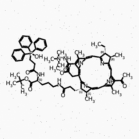 CC[C@H]1c2cc3[nH]c(c(CC(=O)OC)c4nc(cc5[nH]c(cc(n2)[C@@H]1C)c(C(C)=O)c5C)[C@@H](C)[C@@H]4CCC(=O)NCCC[C@H](NC(=O)CCP(O)(c1ccccc1)(c1ccccc1)c1ccccc1)C(=O)OC(C)(C)C)c(C(=O)N[N+](C)(C)C)c3C